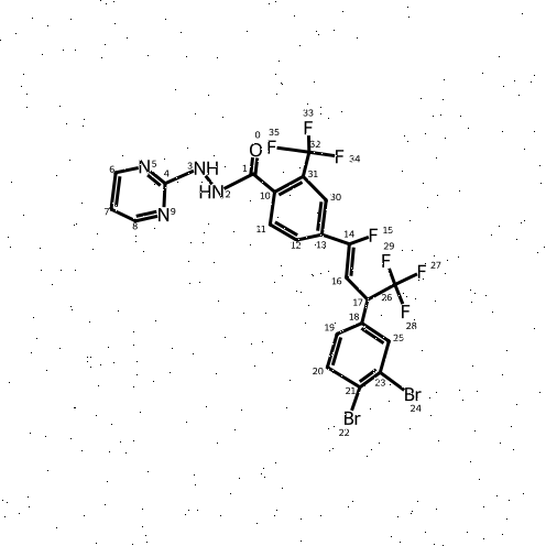 O=C(NNc1ncccn1)c1ccc(C(F)=CC(c2ccc(Br)c(Br)c2)C(F)(F)F)cc1C(F)(F)F